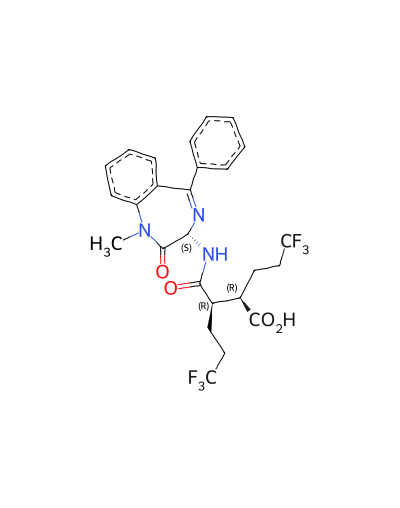 CN1C(=O)[C@@H](NC(=O)[C@H](CCC(F)(F)F)[C@@H](CCC(F)(F)F)C(=O)O)N=C(c2ccccc2)c2ccccc21